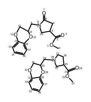 COC(=O)C1CC(=O)N(CC2COc3ccccc3O2)C1.COC(=O)C1CCN(CC2COc3ccccc3O2)C1